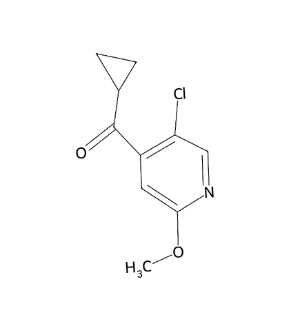 COc1cc(C(=O)C2CC2)c(Cl)cn1